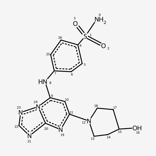 NS(=O)(=O)c1ccc(Nc2cc(N3CCC(O)CC3)nc3ncnn23)cc1